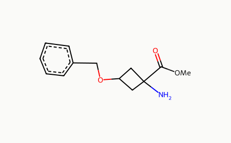 COC(=O)C1(N)CC(OCc2ccccc2)C1